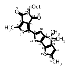 CCCCCCCCN1C(=O)c2c(C)sc(-c3cc4c(s3)-c3sc(C)cc3[Si]4(C)C)c2C1=O